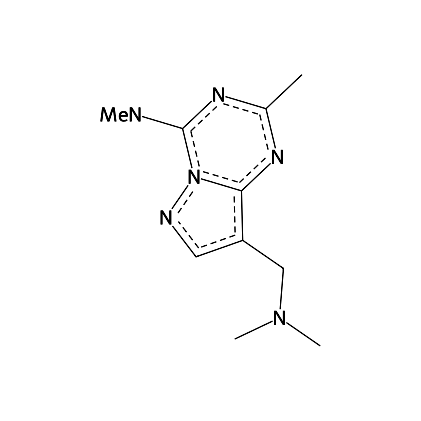 CNc1nc(C)nc2c(CN(C)C)cnn12